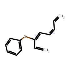 C=C/C=C\C=C(/C=C)Sc1ccccc1